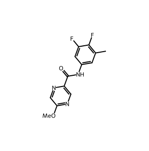 COc1cnc(C(=O)Nc2cc(C)c(F)c(F)c2)cn1